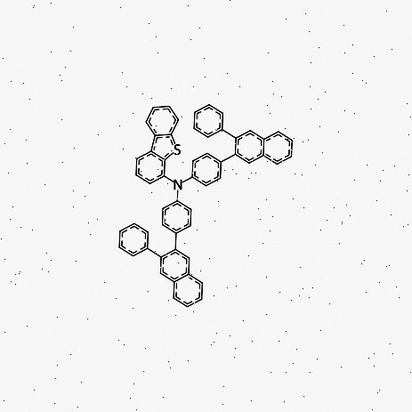 c1ccc(-c2cc3ccccc3cc2-c2ccc(N(c3ccc(-c4cc5ccccc5cc4-c4ccccc4)cc3)c3cccc4c3sc3ccccc34)cc2)cc1